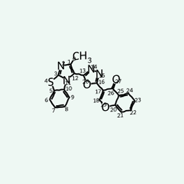 Cc1nc2sc3ccccc3n2c1-c1nnc(-c2coc3ccccc3c2=O)o1